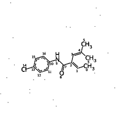 C/C=C(\C=C(C)C)C(=O)Nc1ccc(Cl)cc1